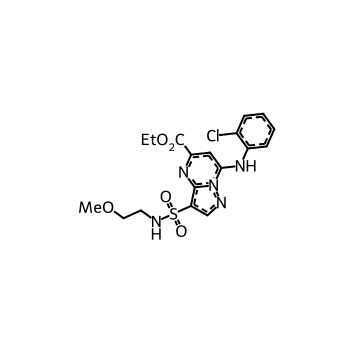 CCOC(=O)c1cc(Nc2ccccc2Cl)n2ncc(S(=O)(=O)NCCOC)c2n1